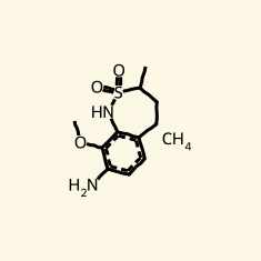 C.COc1c(N)ccc2c1NS(=O)(=O)C(C)CC2